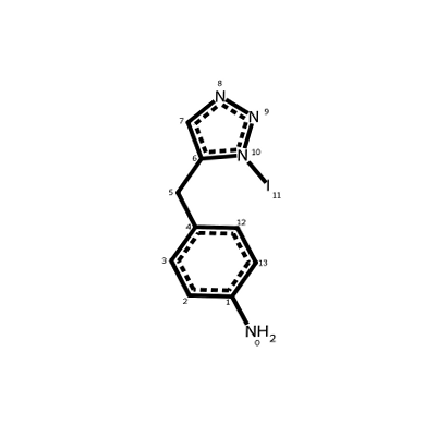 Nc1ccc(Cc2cnnn2I)cc1